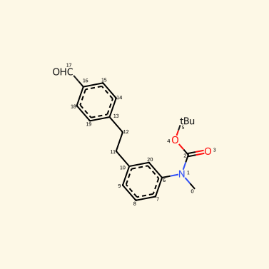 CN(C(=O)OC(C)(C)C)c1cccc(CCc2ccc(C=O)cc2)c1